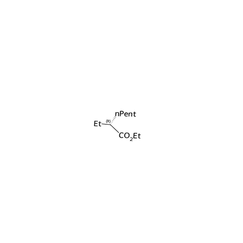 CCCCC[C@@H](CC)C(=O)OCC